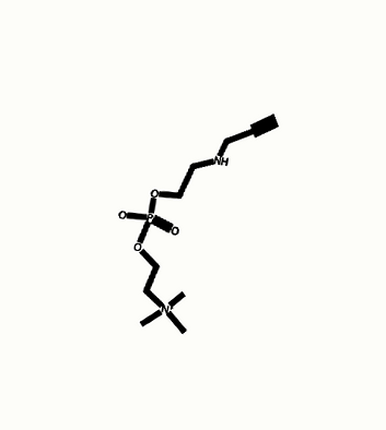 C#CCNCCOP(=O)([O-])OCC[N+](C)(C)C